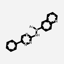 CC(=O)N(Nc1ncc(-c2ccccc2)nn1)c1ccc2ncccc2c1